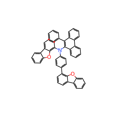 c1ccc(-c2c(N(c3ccc(-c4cccc5c4oc4ccccc45)cc3)c3cccc4c3oc3ccccc34)c3ccccc3c3ccccc23)cc1